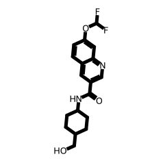 O=C(NC1CCC(CO)CC1)c1cnc2cc(OC(F)F)ccc2c1